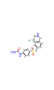 NC(=O)Nc1ccc(S(=O)(=O)Cc2ccc3c(c2)C(F)CNC3)cc1